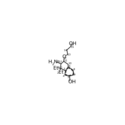 CCC1(CC)c2cc(O)ccc2CC(OCCCO)C1N